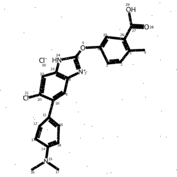 Cc1ccc(OC2=[N+]c3cc(-c4ccc(N(C)C)cc4)c(Cl)cc3N2)cc1C(=O)O.[Cl-]